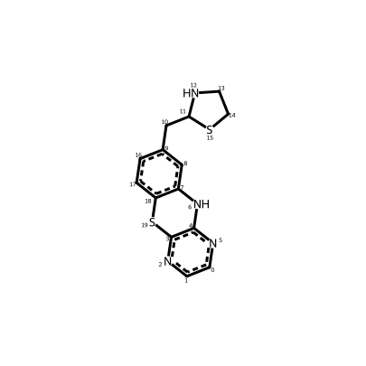 c1cnc2c(n1)Nc1cc(CC3NCCS3)ccc1S2